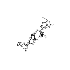 COC(=O)C(CC(C)C)NC(=O)C(N)Cc1nc2cc(N(CCCl)CCCl)ccc2n1C